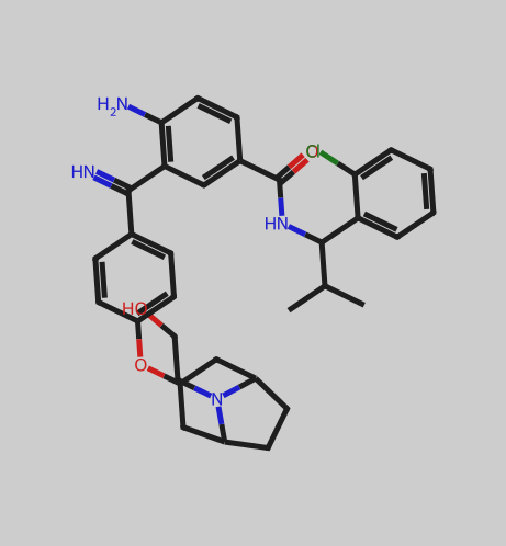 CC(C)C(NC(=O)c1ccc(N)c(C(=N)c2ccc(OC3CC4CCC(C3)N4CCO)cc2)c1)c1ccccc1Cl